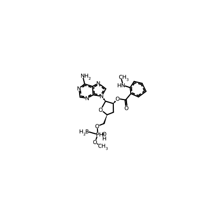 B[PH](O)(OC)OC[C@@H]1C[C@H](OC(=O)c2ccccc2NC)[C@H](n2cnc3c(N)ncnc32)O1